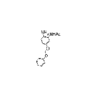 CC(=O)Nc1cc(OCOc2ccccc2)ccc1N